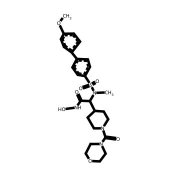 COc1ccc(-c2ccc(S(=O)(=O)N(C)C(C(=O)NO)C3CCN(C(=O)N4CCOCC4)CC3)cc2)cc1